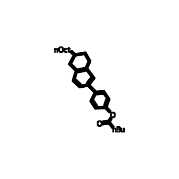 CCCCCCCCC1CCc2cc(-c3ccc(OC(=O)CCCC)cc3)ccc2C1